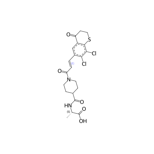 C[C@H](NC(=O)C1CCN(C(=O)/C=C/c2cc3c(c(Cl)c2Cl)SCCC3=O)CC1)C(=O)O